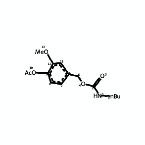 CCCCNC(=O)OCc1ccc(OC(C)=O)c(OC)c1